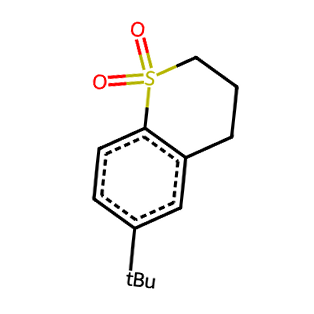 CC(C)(C)c1ccc2c(c1)CCCS2(=O)=O